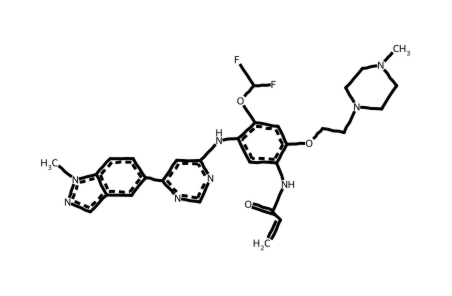 C=CC(=O)Nc1cc(Nc2cc(-c3ccc4c(cnn4C)c3)ncn2)c(OC(F)F)cc1OCCN1CCN(C)CC1